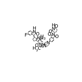 Cc1[nH]c2c(c1C(=O)N[C@H](C)CN1CCN(c3ccc4c(c3)C(=O)N(C3CCC(=O)NC3=O)C4=O)CC1)CCC2=C1C(=O)Nc2ccc(F)cc21